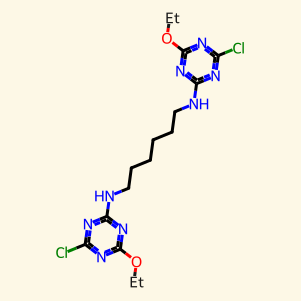 CCOc1nc(Cl)nc(NCCCCCCNc2nc(Cl)nc(OCC)n2)n1